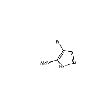 CNc1[nH]ncc1Br